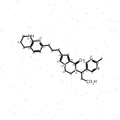 Cc1ncc(C(CC(=O)O)N2CCn3cc(CCCc4ccc5c(n4)NCCC5)cc3C2=O)cn1